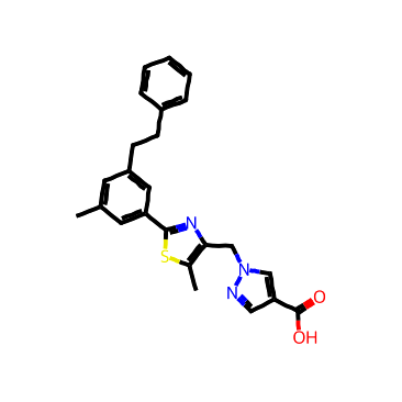 Cc1cc(CCc2ccccc2)cc(-c2nc(Cn3cc(C(=O)O)cn3)c(C)s2)c1